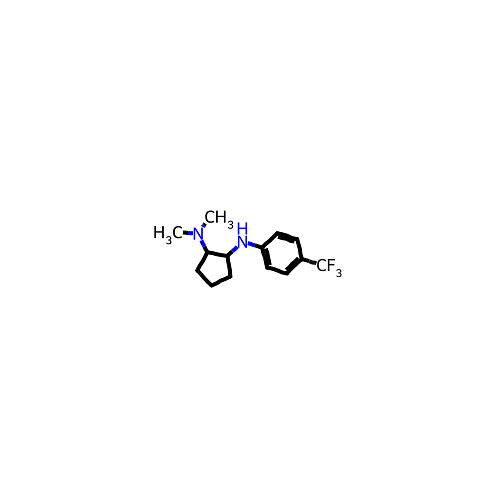 CN(C)C1CCCC1Nc1ccc(C(F)(F)F)cc1